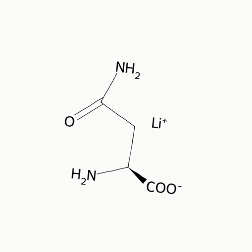 NC(=O)C[C@H](N)C(=O)[O-].[Li+]